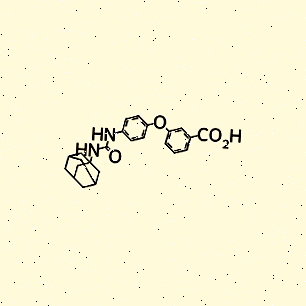 O=C(Nc1ccc(Oc2cccc(C(=O)O)c2)cc1)NC12CC3CC(CC(C3)C1)C2